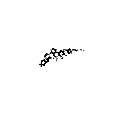 COCCn1cc(Nc2cc(-c3ccnc(-n4ccn5c6c(cc5c4=O)CC(C)(C)C6)c3CO)cn(C)c2=O)cn1